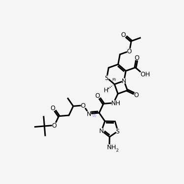 CC(=O)OCC1=C(C(=O)O)N2C(=O)C(NC(=O)/C(=N\OC(C)CC(=O)OC(C)(C)C)c3csc(N)n3)[C@H]2SC1